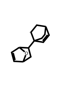 [CH]1CC2C=CC1(C1CC3C=C[C]1O3)CC2